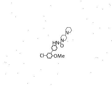 COc1ccc(Cl)cc1-c1ccc(NC(=O)N2CCC(N3CCCCC3)CC2)cc1